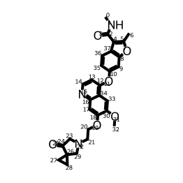 CNC(=O)c1c(C)oc2cc(Oc3ccnc4cc(OCCN5CC(=O)C6(CC6)C5)c(OC)cc34)ccc12